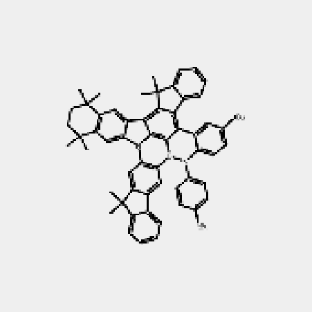 CC(C)(C)c1ccc(N2B3c4cc5c(cc4-n4c6cc7c(cc6c6c8c(c(c3c64)-c3cc(C(C)(C)C)ccc32)-c2ccccc2C8(C)C)C(C)(C)CCC7(C)C)C(C)(C)c2ccccc2-5)cc1